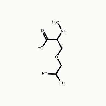 CN[C@@H](COCC(C)O)C(=O)O